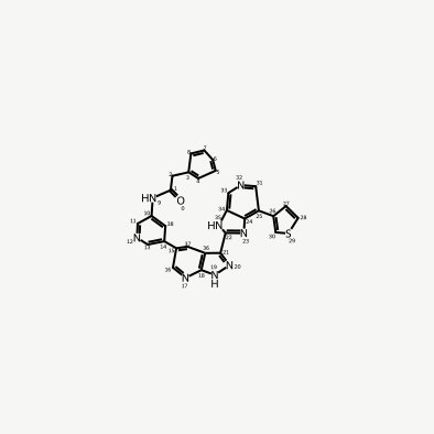 O=C(Cc1ccccc1)Nc1cncc(-c2cnc3[nH]nc(-c4nc5c(-c6ccsc6)cncc5[nH]4)c3c2)c1